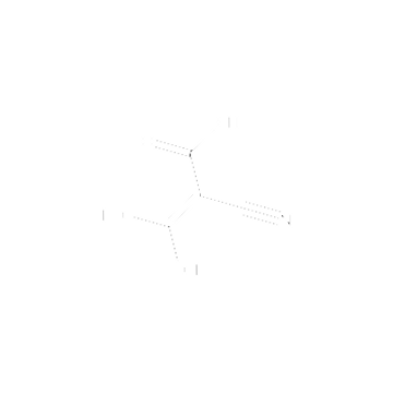 CC(=O)/C(C#N)=C(\C)O